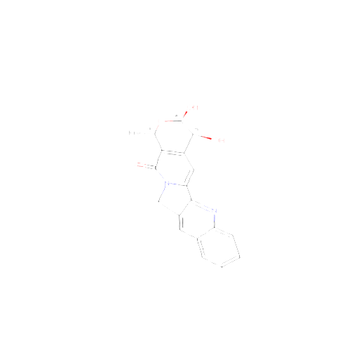 CC[C@@H]1O[C@@H](O)[C@@H](O)c2cc3n(c(=O)c21)Cc1cc2ccccc2nc1-3